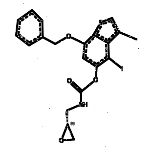 Cc1csc2c(OCc3ccccc3)cc(OC(=O)NC[C@@H]3CO3)c(I)c12